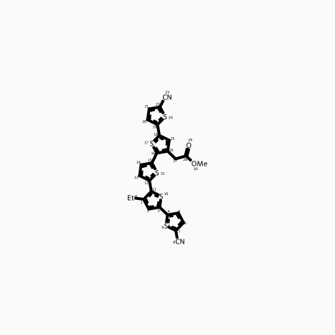 CCc1cc(-c2ccc(C#N)s2)sc1-c1ccc(-c2sc(-c3ccc(C#N)s3)cc2CC(=O)OC)s1